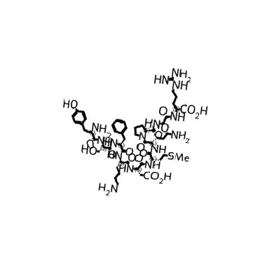 CSCC[C@H](NC(=O)[C@H](CC(=O)O)NC(=O)[C@H](CCCCN)NC(=O)[C@H](Cc1ccccc1)NC(=O)[C@H](CO)NC(=O)[C@@H](N)Cc1ccc(O)cc1)C(=O)N[C@@H](CCC(N)=O)C(=O)N1CCC[C@H]1C(=O)NCC(=O)N[C@@H](CCCNC(=N)N)C(=O)O